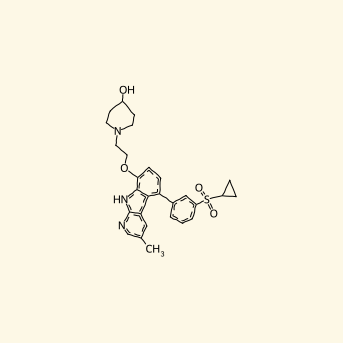 Cc1cnc2[nH]c3c(OCCN4CCC(O)CC4)ccc(-c4cccc(S(=O)(=O)C5CC5)c4)c3c2c1